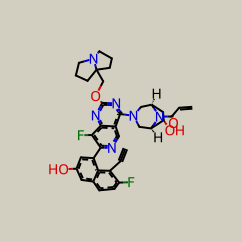 C#Cc1c(F)ccc2cc(O)cc(-c3ncc4c(N5C[C@H]6C[C@@H](O)[C@@H](C5)N6C(=O)C=C)nc(OCC56CCCN5CCC6)nc4c3F)c12